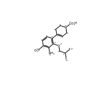 Nc1c([N+](=O)[O-])ccc(C2=CCN(C(=O)O)CC2)c1OCC(F)F